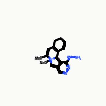 COC1=CC2=C(C=CCC2)C2=c3c(NN)nncc3=C[N+]12OC